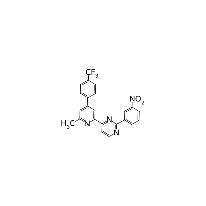 Cc1cc(-c2ccc(C(F)(F)F)cc2)cc(-c2ccnc(-c3cccc([N+](=O)[O-])c3)n2)n1